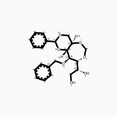 OC[C@@H](O)[C@H]1OCO[C@@H]2COC(c3ccccc3)O[C@H]2[C@@H]1OCc1ccccc1